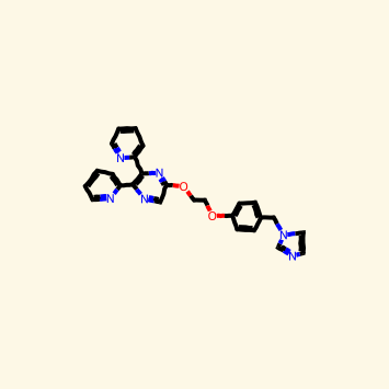 c1ccc(-c2ncc(OCCOc3ccc(Cn4ccnc4)cc3)nc2-c2ccccn2)nc1